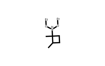 CCO[SiH](OCC)C1(C)CCC1C